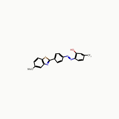 COc1ccc2sc(-c3ccc(N=Nc4ccc(C(F)(F)F)cc4O)cc3)nc2c1